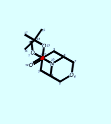 COC1CC2COCC(C1)N2C(=O)OC(C)(C)C